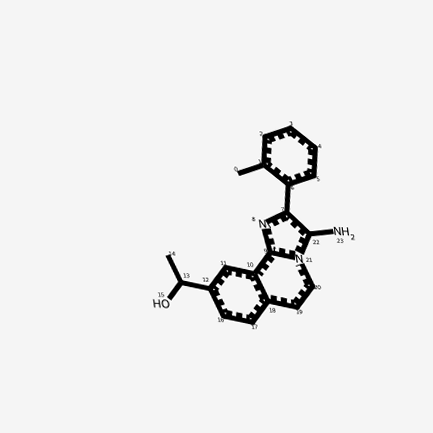 Cc1ccccc1-c1nc2c3cc(C(C)O)ccc3ccn2c1N